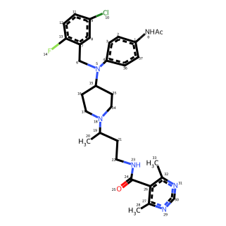 CC(=O)Nc1ccc(N(Cc2cc(Cl)ccc2F)C2CCN(C(C)CCNC(=O)c3c(C)ncnc3C)CC2)cc1